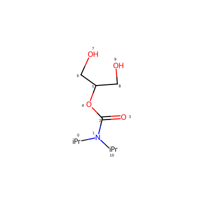 CC(C)N(C(=O)OC(CO)CO)C(C)C